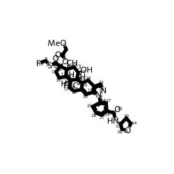 COCC(=O)O[C@]1(C(=O)SCF)CC[C@H]2[C@@H]3CCC4=Cc5c(cnn5-c5cccc(C(=O)N[C@@H]6CCOC6)c5)C[C@]4(C)[C@H]3[C@@H](O)C[C@@]21C